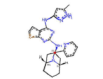 Cc1cc(Nc2nc(N[C@@H]3C[C@H]4CCC[C@@H](C3)N4Cc3ccccn3)nc3sccc23)n[nH]1